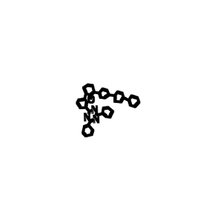 c1ccc(-c2ccc(-c3ccc(-c4cccc5c4oc4c(-c6nc(-c7ccccc7)nc(-c7ccccc7)n6)cccc45)cc3)cc2)cc1